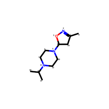 CC1=NOC(N2CCN(C(C)C)CC2)C1